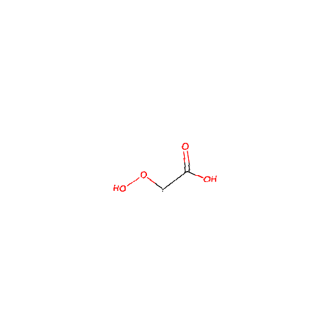 O=C(O)[CH]OO